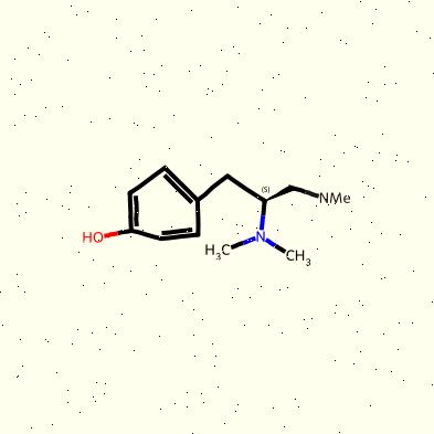 CNC[C@H](Cc1ccc(O)cc1)N(C)C